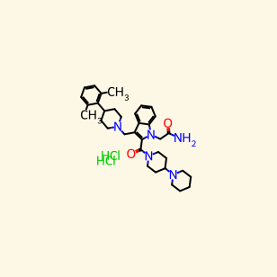 Cc1cccc(C)c1C1CCN(Cc2c(C(=O)N3CCC(N4CCCCC4)CC3)n(CC(N)=O)c3ccccc23)CC1.Cl.Cl